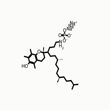 Cc1c(C)c2c(c(C)c1O)CC[C@@](C)(C(CCCN)CC[C@H](C)CCC[C@H](C)CCCC(C)C)O2.O=P([O-])([O-])[O-].[Na+].[Na+].[Na+]